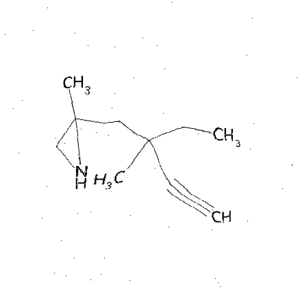 C#CC(C)(CC)CC1(C)CN1